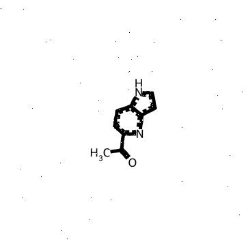 CC(=O)c1ccc2[nH]ccc2n1